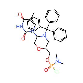 Cc1cn(C2COC(COP(=O)(Cl)N(C)C)CN2C(c2ccccc2)(c2ccccc2)c2ccccc2)c(=O)[nH]c1=O